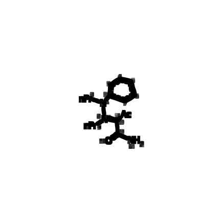 CCCN(c1ccccc1)[N+](CCC)=C(C(C)=O)C(N)=O